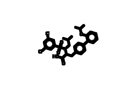 CC(C)CN(C(Cc1ccc(-c2ccccc2OC(C)C)cc1)C(=O)O)S(=O)(=O)c1cc(Cl)cc(Cl)c1